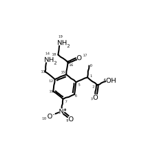 CC(C(=O)O)c1cc([N+](=O)[O-])cc(CN)c1C(=O)CN